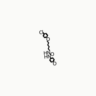 COc1ccc(NC(=O)NCCCCCCOc2ccc(Cl)cc2)cc1